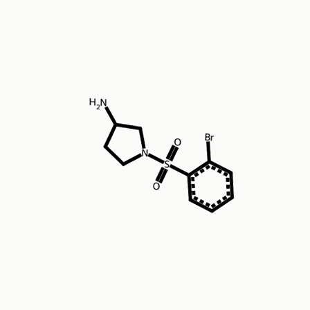 NC1CCN(S(=O)(=O)c2ccccc2Br)C1